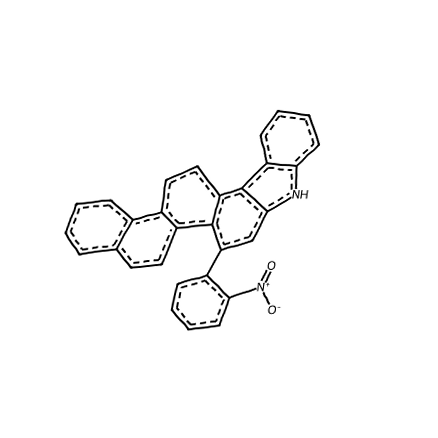 O=[N+]([O-])c1ccccc1-c1cc2[nH]c3ccccc3c2c2ccc3c4ccccc4ccc3c12